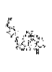 C[C@@H](O[Si](C)(C)C(C)(C)C)[C@H]1C(=O)N[C@@H]1CC(=O)C(=N)C(=O)N(C)OCc1ccc(N=[N+]=[N-])cc1